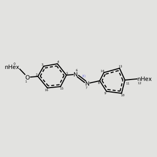 CCCCCCOc1ccc(/N=N/c2ccc(CCCCCC)cc2)cc1